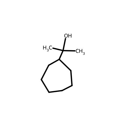 CC(C)(O)C1CCCCCC1